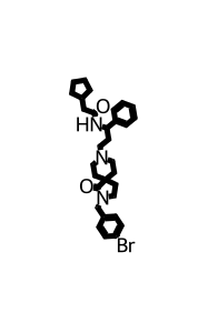 O=C(CC1CCCC1)NC(CCN1CCC2(CC1)CCN(Cc1ccc(Br)cc1)C2=O)c1ccccc1